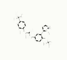 Cn1nccc1-c1cc(NC(=O)Nc2ccc(C(F)(F)F)cc2)ccc1OC(F)(F)F